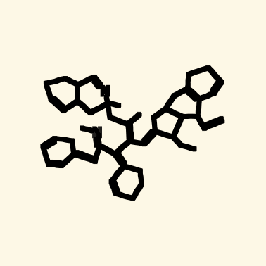 C=CC1C2=C(CCC=C2)CC2C\C(=C/C(=C(\C)CC3(C)CC4C=CCCC4C=N3)C(/C(/C=C3/C=CC=CC3)=NC)=C3/C=CCCC3)C(CC)C21